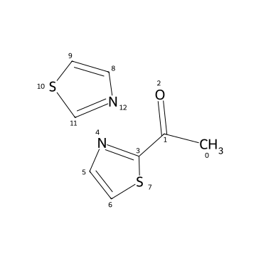 CC(=O)c1nccs1.c1cscn1